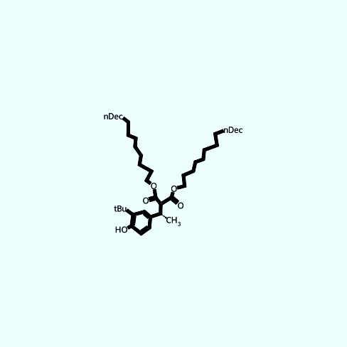 CCCCCCCCCCCCCCCCCCOC(=O)C(C(=O)OCCCCCCCCCCCCCCCCCC)[C@H](C)c1ccc(O)c(C(C)(C)C)c1